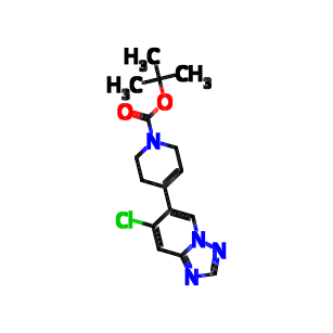 CC(C)(C)OC(=O)N1CC=C(c2cn3ncnc3cc2Cl)CC1